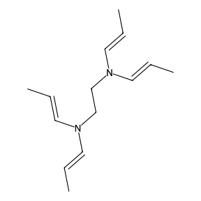 CC=CN(C=CC)CCN(C=CC)C=CC